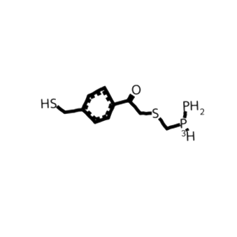 [3H]P(P)CSCC(=O)c1ccc(CS)cc1